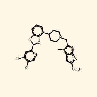 Cn1c(CN2CCC(c3cccc4c3OC(c3cc(Cl)c(Cl)cn3)O4)CC2)nc2sc(C(=O)O)cc21